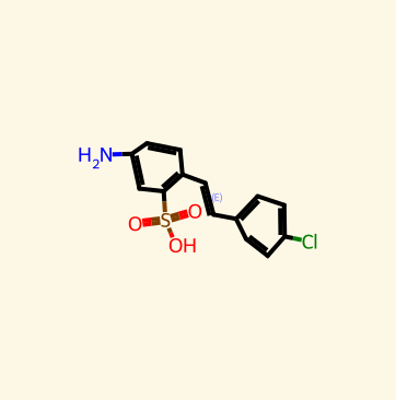 Nc1ccc(/C=C/c2ccc(Cl)cc2)c(S(=O)(=O)O)c1